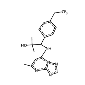 Cc1cc(NC(c2ccc(CC(F)(F)F)cc2)C(C)(C)O)n2ncnc2n1